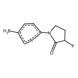 Bc1ccc(N2CCC(F)C2=O)nc1